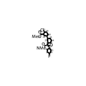 CNC(=O)c1c(-c2ccc(F)cc2)oc2ccc(-c3ccc(Cl)c(C(=O)OC)c3)cc12